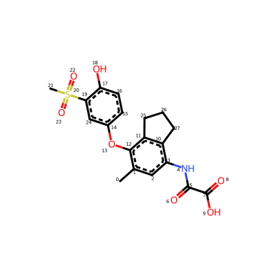 Cc1cc(NC(=O)C(=O)O)c2c(c1Oc1ccc(O)c(S(C)(=O)=O)c1)CCC2